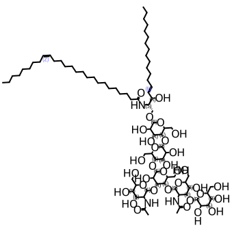 CCCCCCCC/C=C\CCCCCCCCCCCCCCCC(=O)N[C@@H](CO[C@@H]1OC(CO)[C@@H](O[C@@H]2OC(CO)[C@H](O[C@@H]3OC(CO)[C@H](O[C@@H]4OC(CO)[C@H](O)[C@H](O[C@@H]5OC(CO)[C@H](O)[C@H](O)C5O)C4NC(C)=O)[C@H](O[C@@H]4OC(CO)[C@H](O)[C@H](O)C4NC(C)=O)C3O)[C@H](O)C2O)[C@H](O)C1O)[C@H](O)/C=C/CCCCCCCCCCCCC